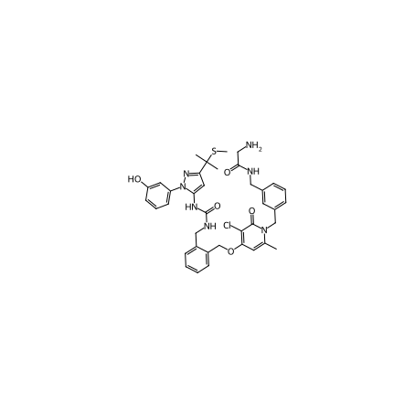 CSC(C)(C)c1cc(NC(=O)NCc2ccccc2COc2cc(C)n(Cc3cccc(CNC(=O)CN)c3)c(=O)c2Cl)n(-c2cccc(O)c2)n1